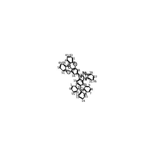 c1ccc([Si](c2ccccc2)(c2ccccc2)c2ccc3c(c2)n2c4ccccc4nc2n3-c2cc3c4c(c2)Oc2ccccc2B4c2ccccc2O3)cc1